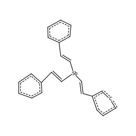 C(=[CH]\[Sb](/[CH]=C/c1ccccc1)/[CH]=C/c1ccccc1)/c1ccccc1